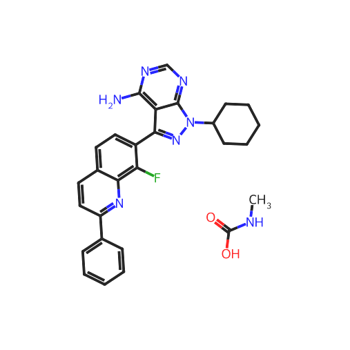 CNC(=O)O.Nc1ncnc2c1c(-c1ccc3ccc(-c4ccccc4)nc3c1F)nn2C1CCCCC1